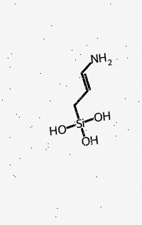 NC=CC[Si](O)(O)O